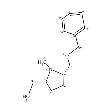 CN1[C@@H](CO)CC[C@H]1COCc1ccccc1